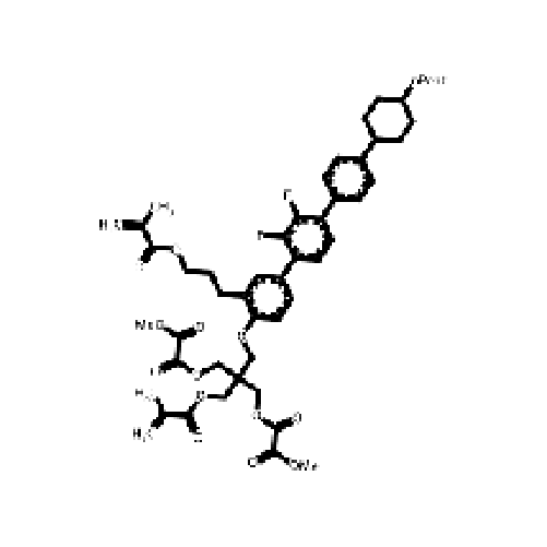 C=C(C)C(=O)OCCCc1cc(-c2ccc(-c3ccc(C4CCC(CCCCC)CC4)cc3)c(F)c2F)ccc1OCC(COC(=O)C(=C)C)(COC(=O)C(=O)OC)COC(=O)C(=O)OC